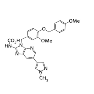 COc1ccc(COc2ccc(Cn3c(NC(=O)O)nc4cc(-c5cnn(C)c5)cnc43)cc2OC)cc1